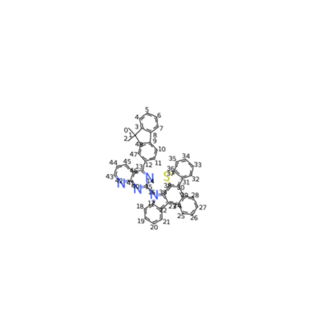 CC1(C)c2ccccc2-c2ccc(-c3nc(-n4c5ccccc5c5c6ccccc6c6c7ccccc7sc6c54)nc4ncccc34)cc21